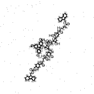 [C-]#[N+]CCO[PH](O)(OC[C@H]1O[C@@H](N2C=CC(NC(=O)CCCN(C)C(=O)OCC3c4ccccc4-c4ccccc43)=NC2O)CC1O)OC1C[C@H](n2cnc3c(=O)[nH]c(NC(=O)CCNC(=O)c4ccc(CNC(=O)OCC5c6ccccc6-c6ccccc65)cc4)nc32)O[C@@H]1COC(c1ccccc1)(c1ccc(OC)cc1)c1ccc(OC)cc1